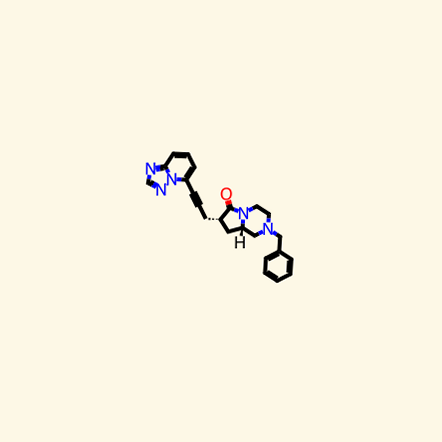 O=C1[C@@H](CC#Cc2cccc3ncnn23)C[C@H]2CN(Cc3ccccc3)CCN12